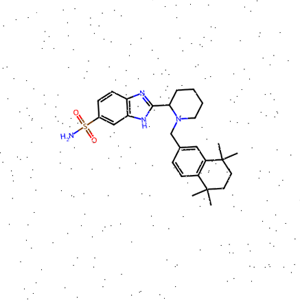 CC1(C)CCC(C)(C)c2cc(CN3CCCCC3c3nc4ccc(S(N)(=O)=O)cc4[nH]3)ccc21